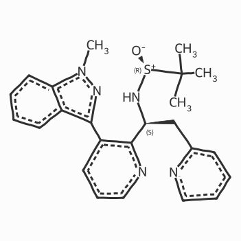 Cn1nc(-c2cccnc2[C@H](Cc2ccccn2)N[S@@+]([O-])C(C)(C)C)c2ccccc21